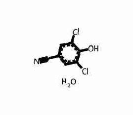 N#Cc1cc(Cl)c(O)c(Cl)c1.O